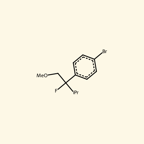 COCC(F)(c1ccc(Br)cc1)C(C)C